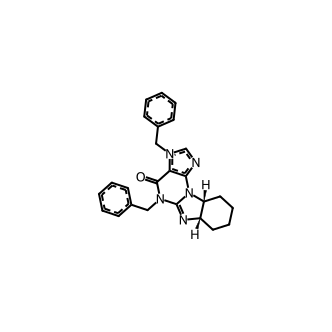 O=C1c2c(ncn2Cc2ccccc2)N2C(=N[C@H]3CCCC[C@H]32)N1Cc1ccccc1